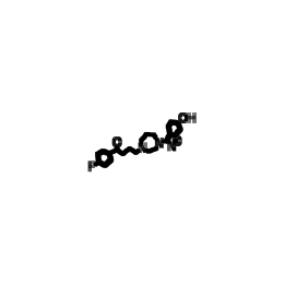 O=C(CCCN1CCCN(c2noc3cc(O)ccc23)CC1)c1ccc(F)cc1